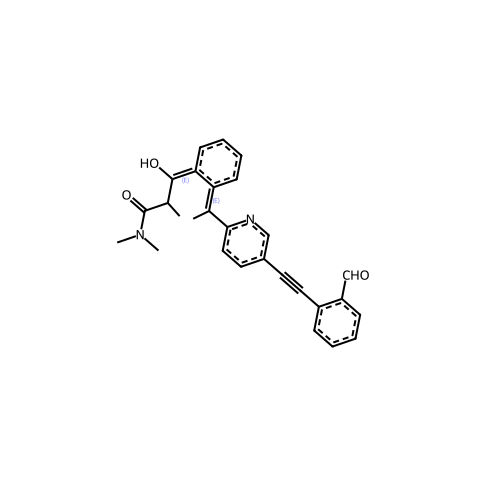 C/C(c1ccc(C#Cc2ccccc2C=O)cn1)=c1/cccc/c1=C(\O)C(C)C(=O)N(C)C